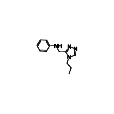 CCCn1cnnc1CNc1ccccc1